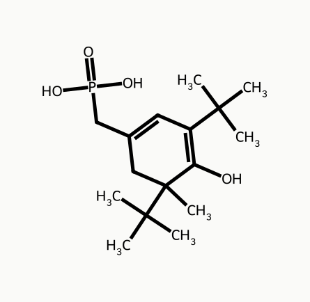 CC(C)(C)C1=C(O)C(C)(C(C)(C)C)CC(CP(=O)(O)O)=C1